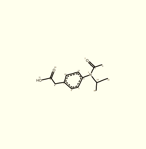 CC(=O)N(c1ccc(CC(=O)O)cc1)C(C)C